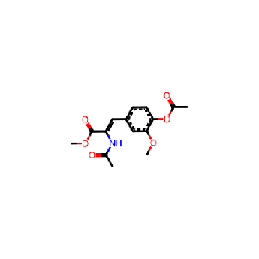 COC(=O)/C(=C/c1ccc(OC(C)=O)c(OC)c1)NC(C)=O